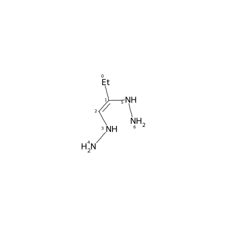 CCC(=CNN)NN